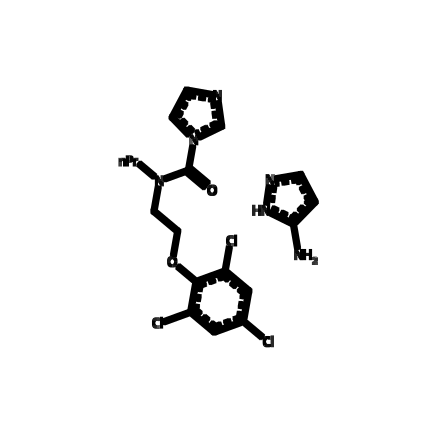 CCCN(CCOc1c(Cl)cc(Cl)cc1Cl)C(=O)n1ccnc1.Nc1ccn[nH]1